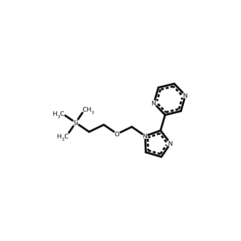 C[Si](C)(C)CCOCn1ccnc1-c1cnccn1